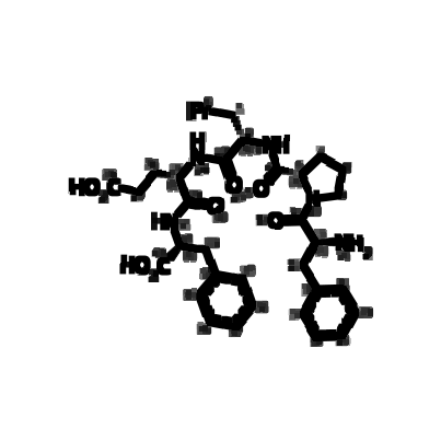 CC(C)C[C@H](NC(=O)[C@@H]1CCCN1C(=O)[C@@H](N)Cc1ccccc1)C(=O)N[C@@H](CCC(=O)O)C(=O)N[C@@H](Cc1ccccc1)C(=O)O